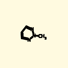 CN1N=C=CC=N1